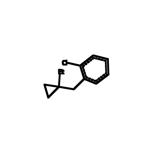 CCC1(Cc2ccccc2Cl)CC1